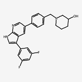 OC1CCCN(Cc2ccc(-c3cnc4[nH]cc(-c5cc(F)cc(F)c5)c4c3)cc2)C1